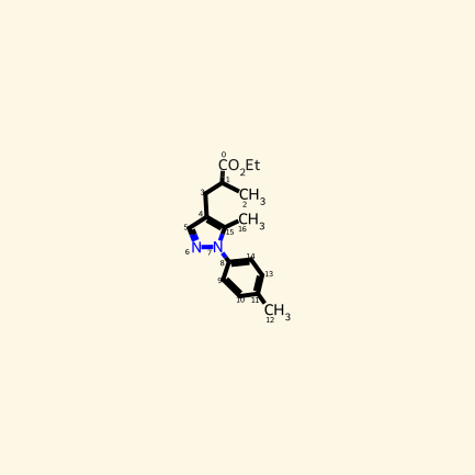 CCOC(=O)C(C)Cc1cnn(-c2ccc(C)cc2)c1C